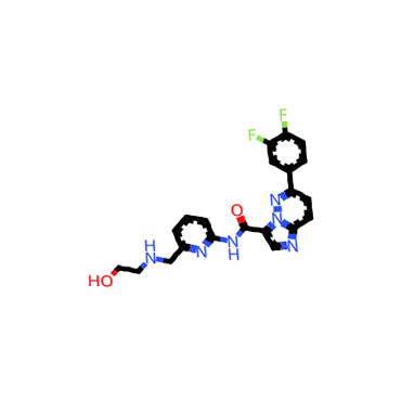 O=C(Nc1cccc(CNCCO)n1)c1cnc2ccc(-c3ccc(F)c(F)c3)nn12